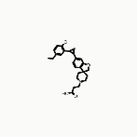 CCc1ccc(Cl)c(C2C=C2c2ccc3c(c2)OCC32CCN(CCC(=O)O)CC2)c1